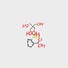 O=C(O)c1ccccc1S.OCC(CO)(CO)CO